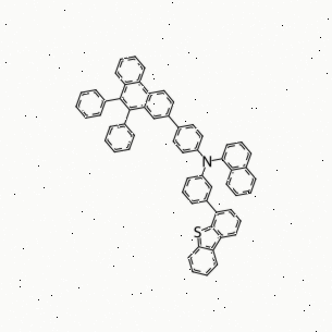 c1ccc(-c2c(-c3ccccc3)c3cc(-c4ccc(N(c5cccc(-c6cccc7c6sc6ccccc67)c5)c5cccc6ccccc56)cc4)ccc3c3ccccc23)cc1